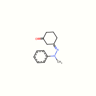 CN(/N=C1/CCCC(=O)C1)c1ccccc1